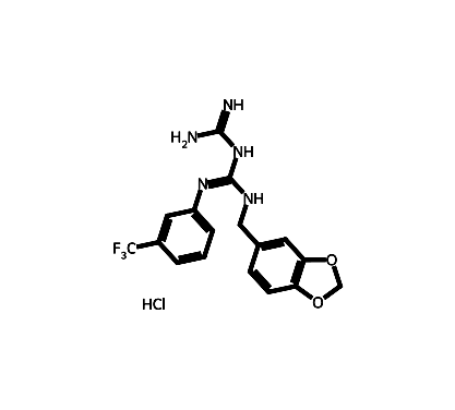 Cl.N=C(N)NC(=Nc1cccc(C(F)(F)F)c1)NCc1ccc2c(c1)OCO2